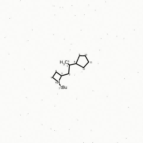 CC(CC1CCN1C(C)(C)C)C1CCCC1